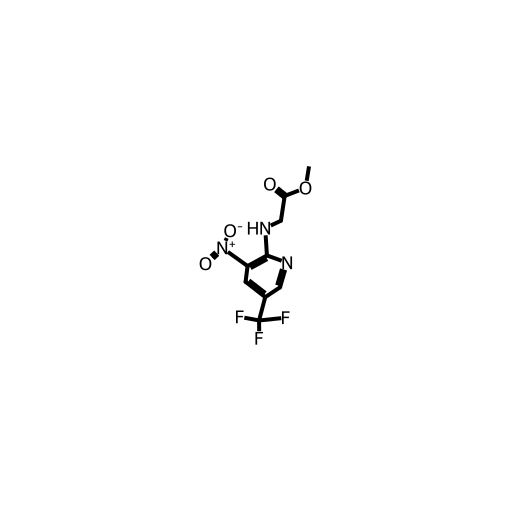 COC(=O)CNc1ncc(C(F)(F)F)cc1[N+](=O)[O-]